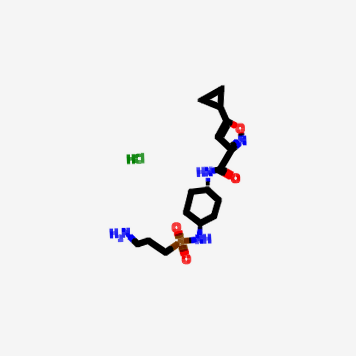 Cl.NCCCS(=O)(=O)N[C@H]1CC[C@H](NC(=O)c2cc(C3CC3)on2)CC1